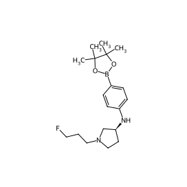 CC1(C)OB(c2ccc(N[C@H]3CCN(CCCF)C3)cc2)OC1(C)C